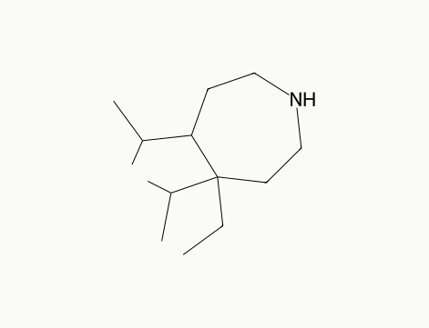 CCC1(C(C)C)CCNCCC1C(C)C